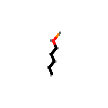 CCCCCO[P]